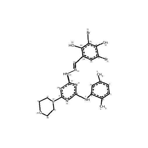 Cc1ccc(C)c(Nc2nc(N/N=C/c3cc(Br)c(O)c(Br)c3O)nc(N3CCOCC3)n2)c1